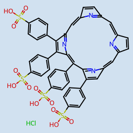 Cl.O=S(=O)(O)c1ccc(C2=CC3=CC4=NC(=CC5=NC(=CC6=NC(=C(c7ccc(S(=O)(=O)O)cc7)C2=N3)C(c2ccc(S(=O)(=O)O)cc2)=C6c2ccc(S(=O)(=O)O)cc2)C=C5)C=C4)cc1